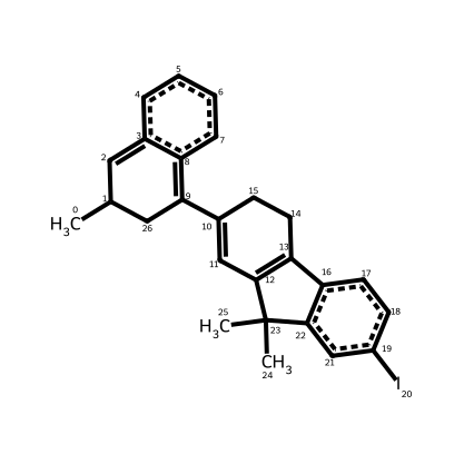 CC1C=c2ccccc2=C(C2=CC3=C(CC2)c2ccc(I)cc2C3(C)C)C1